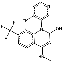 CNC1=NC(O)N(c2cnccc2Cl)c2nc(C(F)(F)F)ccc21